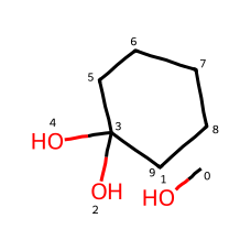 CO.OC1(O)CCCCC1